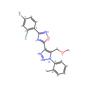 COCc1c(-c2nc(-c3ccc(F)cc3F)no2)nnn1-c1ccccc1C